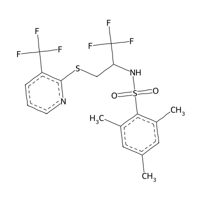 Cc1cc(C)c(S(=O)(=O)NC(CSc2ncccc2C(F)(F)F)C(F)(F)F)c(C)c1